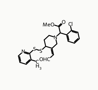 COC(=O)C(c1ccccc1Cl)N1CCC(SSc2ncccc2C)/C(=C\C=O)C1